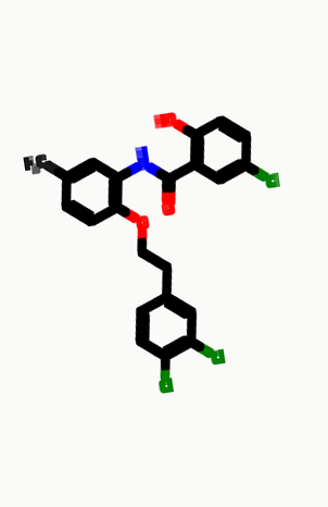 O=C(Nc1cc(C(F)(F)F)ccc1OCCc1ccc(Cl)c(Cl)c1)c1cc(Cl)ccc1O